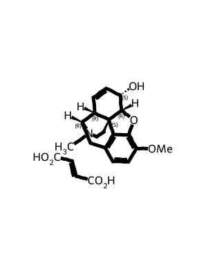 COc1ccc2c3c1O[C@H]1[C@@H](O)C=C[C@H]4[C@@H](C2)N(C)CC[C@@]341.O=C(O)C=CC(=O)O